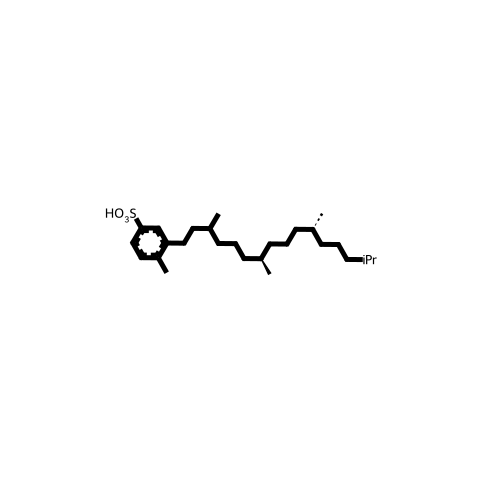 Cc1ccc(S(=O)(=O)O)cc1CCC(C)CCC[C@H](C)CCC[C@H](C)CCCC(C)C